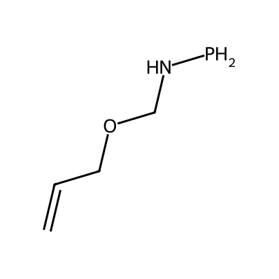 C=CCOCNP